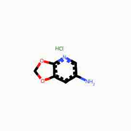 Cl.Nc1cnc2c(c1)OCO2